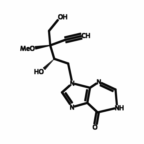 C#C[C@](CO)(OC)[C@@H](O)Cn1cnc2c(=O)[nH]cnc21